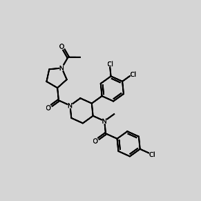 CC(=O)N1CCC(C(=O)N2CCC(N(C)C(=O)c3ccc(Cl)cc3)C(c3ccc(Cl)c(Cl)c3)C2)C1